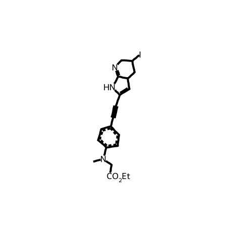 CCOC(=O)CN(C)c1ccc(C#CC2=CC3CC(I)CN=C3N2)cc1